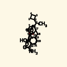 C[C@H](C1CCC1)N1CCC23CC(=O)CC[C@@]2(O)C1Cc1ccc(C(N)=O)c(O)c13